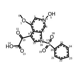 COc1c[n+](O)cc2c1c(C(=O)C(=O)O)cn2S(=O)(=O)c1ccccc1